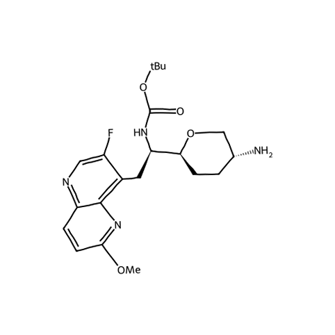 COc1ccc2ncc(F)c(C[C@@H](NC(=O)OC(C)(C)C)[C@@H]3CC[C@@H](N)CO3)c2n1